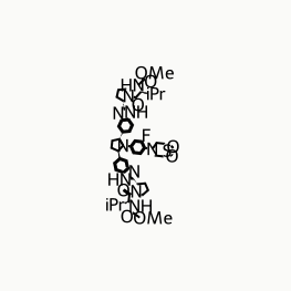 COC(=O)N[C@H](C(=O)N1CCC[C@H]1c1nc2cc([C@H]3CC[C@H](c4ccc5[nH]c([C@@H]6CCCN6C(=O)[C@@H](NC(=O)OC)C(C)C)nc5c4)N3c3ccc(N4CCS(=O)(=O)CC4)c(F)c3)ccc2[nH]1)C(C)C